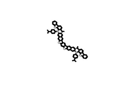 CC(C)c1ccc(N(c2ccc3cc4c(cc3c2)oc2cc3oc5cc6cc(N(c7ccc(C(C)C)cc7)c7c(C(C)C)ccc8c7oc7ccccc78)ccc6cc5c3cc24)c2c(C(C)C)ccc3c2oc2ccccc23)cc1